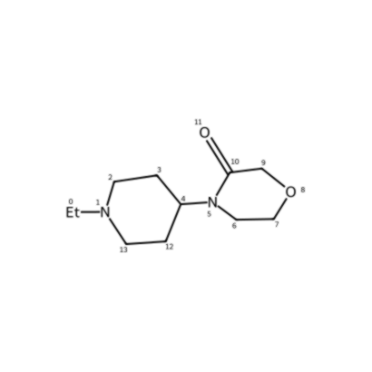 CCN1CCC(N2CCOCC2=O)CC1